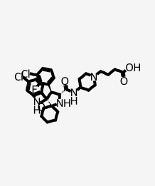 O=C(O)CCCN1CCC(NC(=O)[C@@H]2NC3(CCCCC3)[C@@]3(C(=O)Nc4cc(Cl)ccc43)[C@H]2c2cccc(Cl)c2F)CC1